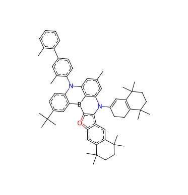 Cc1cc2c3c(c1)N(c1ccc(-c4ccccc4C)cc1C)c1ccc(C(C)(C)C)cc1B3c1oc3cc4c(cc3c1N2C1=CC2=C(CC1)C(C)(C)CCC2(C)C)C(C)(C)CCC4(C)C